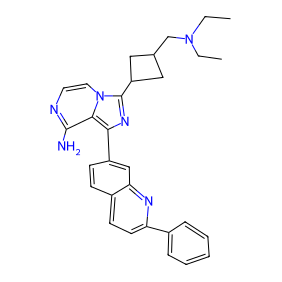 CCN(CC)CC1CC(c2nc(-c3ccc4ccc(-c5ccccc5)nc4c3)c3c(N)nccn23)C1